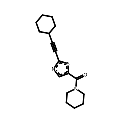 O=C(c1cnc(C#CC2CCCCC2)s1)N1CCCCC1